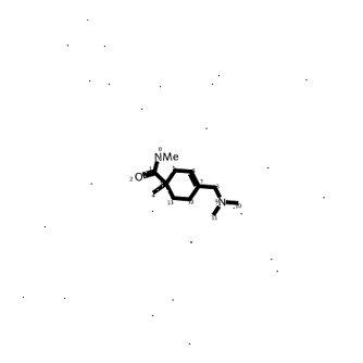 CNC(=O)C1(C)CC=C(CN(C)C)CC1